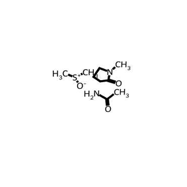 CC(N)=O.CN1CCCC1=O.C[S+](C)[O-]